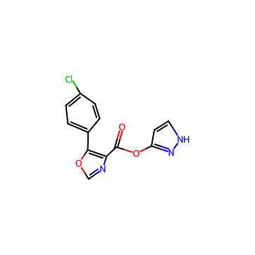 O=C(Oc1cc[nH]n1)c1ncoc1-c1ccc(Cl)cc1